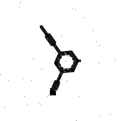 CC#Cc1c[c]cc(C#N)c1